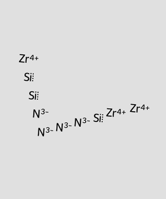 [N-3].[N-3].[N-3].[N-3].[Si].[Si].[Si].[Zr+4].[Zr+4].[Zr+4]